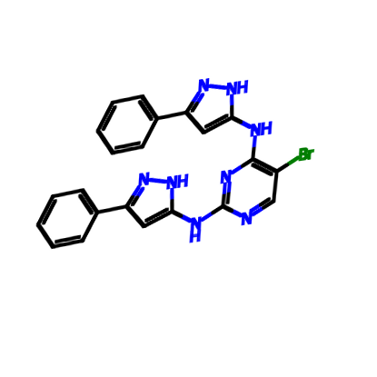 Brc1cnc(Nc2cc(-c3ccccc3)n[nH]2)nc1Nc1cc(-c2ccccc2)n[nH]1